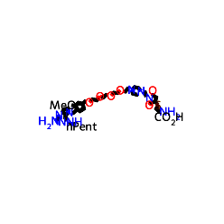 CCCCCNc1nc(N)nc2ccn(Cc3ccc(COCCOCCOCCOCCN4CCN(CCN5C(=O)CC(SC[C@H](N)C(=O)O)C5=O)CC4)cc3OC)c12